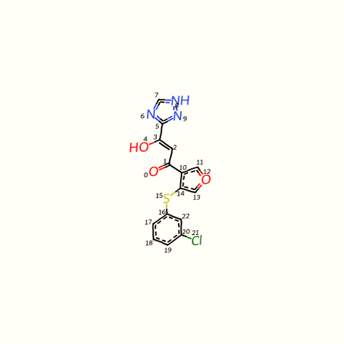 O=C(C=C(O)c1nc[nH]n1)c1cocc1Sc1cccc(Cl)c1